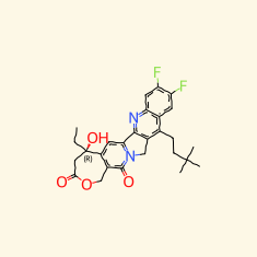 CC[C@@]1(O)CC(=O)OCc2c1cc1n(c2=O)Cc2c-1nc1cc(F)c(F)cc1c2CCC(C)(C)C